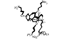 CCCCCCCCN(CCCCCCCC)CCC[C@@H](C)[C@H]1CC[C@H]2C3C(OCCCN)CC4C[C@H](OCCCN)CCC4(C)[C@H]3C[C@H](OCCCN)[C@]12C